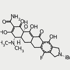 CC[C@@H](C)N1Cc2c(O)c3c(c(F)c2C1)CC1C[C@H]2[C@H](N(C)C)C(O)=C(C(N)=O)C(=O)[C@@]2(O)C(O)=C1C3=O